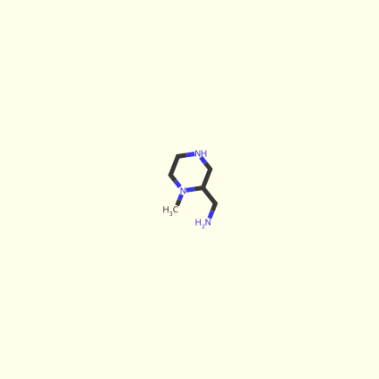 CN1CCNCC1CN